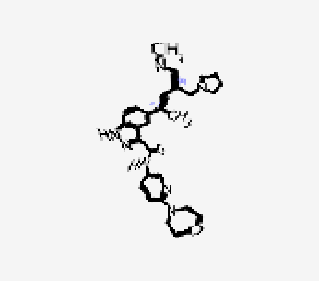 C=N/C=C(\C=C(/C)c1ccc2[nH]nc(C(=O)Nc3ccc(N4CCOCC4)nc3)c2c1)CN1CCCC1